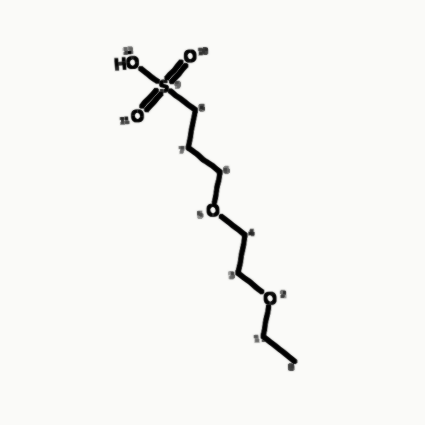 C[CH]OCCOCCCS(=O)(=O)O